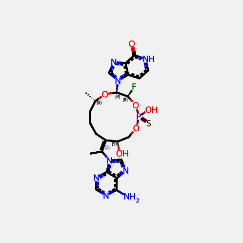 C/C(=C1\CCC[C@H](C)O[C@@H](n2cnc3c(=O)[nH]ccc32)[C@@H](F)OP(O)(=S)OC[C@H]1O)n1cnc2c(N)ncnc21